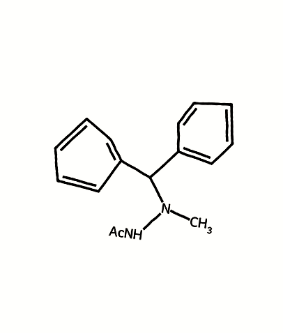 CC(=O)NN(C)C(c1ccccc1)c1ccccc1